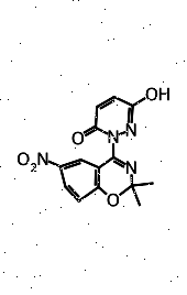 CC1(C)N=C(n2nc(O)ccc2=O)c2cc([N+](=O)[O-])ccc2O1